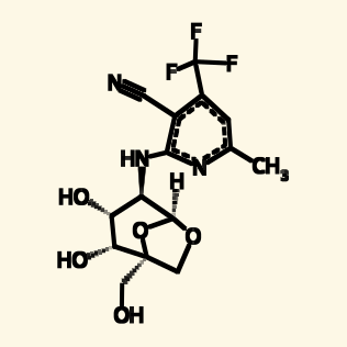 Cc1cc(C(F)(F)F)c(C#N)c(N[C@H]2[C@H]3OC[C@](CO)(O3)[C@H](O)[C@@H]2O)n1